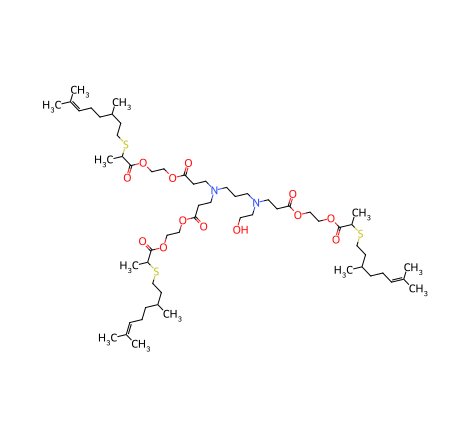 CC(C)=CCCC(C)CCSC(C)C(=O)OCCOC(=O)CCN(CCO)CCCN(CCC(=O)OCCOC(=O)C(C)SCCC(C)CCC=C(C)C)CCC(=O)OCCOC(=O)C(C)SCCC(C)CCC=C(C)C